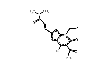 CC(C)Cn1c(=O)c(C(N)=O)c(O)n2nc(C=CC(=O)N(C)C)cc12